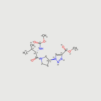 COC(=O)N[C@H](C(=O)N1CC[C@H](n2cc(C(=O)OC)nn2)C1)C(C)C